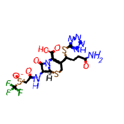 NC(=O)CCC(Sc1nnn[nH]1)C1=C(C(=O)O)N2C(=O)C(NC(=O)C[S+]([O-])C(F)(F)F)[C@@H]2SC1